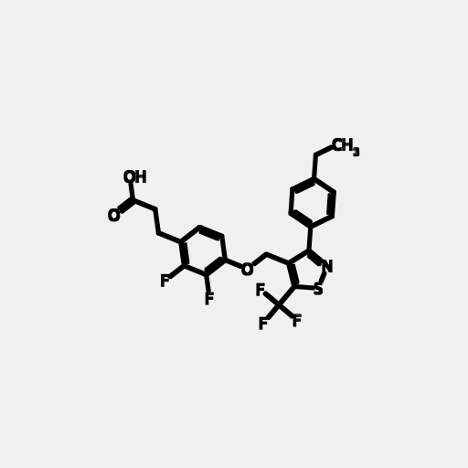 CCc1ccc(-c2nsc(C(F)(F)F)c2COc2ccc(CCC(=O)O)c(F)c2F)cc1